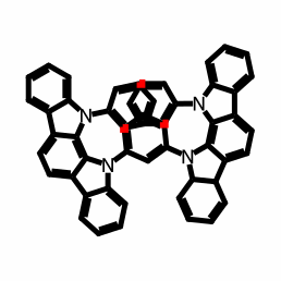 C1=CC2c3ccc4c5ccccc5n(-c5ccccc5)c4c3N(c3cccc(-n4c5ccccc5c5ccc6c7ccccc7n(-c7ccccc7)c6c54)c3)C2C=C1